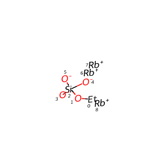 CCO[Si]([O-])([O-])[O-].[Rb+].[Rb+].[Rb+]